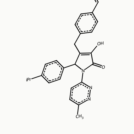 CO/N=C\c1ccc(CC2=C(O)C(=O)N(c3ccc(C)nn3)C2c2ccc(C(C)C)cc2)cc1